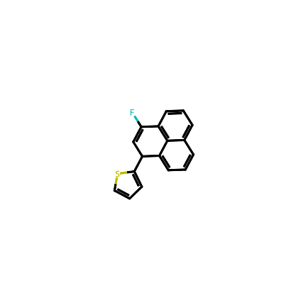 FC1=CC(c2cccs2)c2cccc3cccc1c23